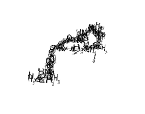 COC(=O)[C@H](CCC(C)(C)C)NC(=O)c1ccc(Oc2cccc(OCC(=O)N(CCOC3CN(C(=O)COCc4cn(CC(=O)NCCCn5nccc5C(=O)N[C@H](C(=O)Nc5ccc(-c6c(C)nn(COCC[Si](C)(C)C)c6C)cc5)C(C5CC5)C5CC5)nn4)C3)CC(N)=O)c2)nc1